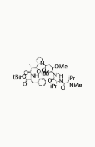 CC[C@H](C)[C@@H](C(CC(=O)N1CCC[C@H]1[C@H](OC)[C@@H](C)C(=O)N[C@@H](Cc1ccccc1)C(=O)OC(C)(C)C)OC)N(C)C(=O)[C@@H](NC(=O)[C@@H](NC)C(C)C)C(C)C